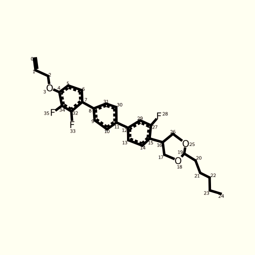 C=CCOc1ccc(-c2ccc(-c3ccc(C4COC(CCCCC)OC4)c(F)c3)cc2)c(F)c1F